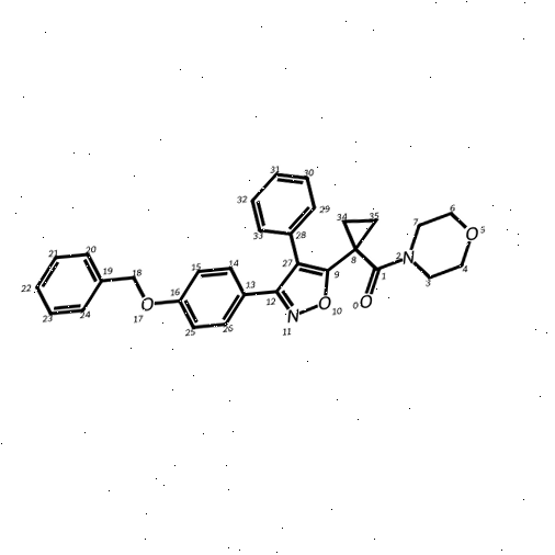 O=C(N1CCOCC1)C1(c2onc(-c3ccc(OCc4ccccc4)cc3)c2-c2ccccc2)CC1